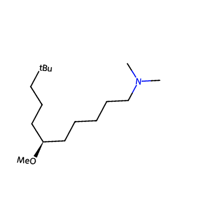 CO[C@H](CCCCCN(C)C)CCCC(C)(C)C